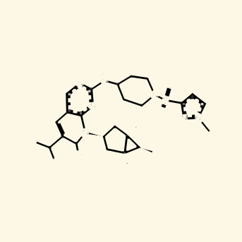 C[C@H]1[C@H]2C[C@@H](N3c4nc(NC5CCN(S(=O)(=O)c6ccn(C)n6)CC5)ncc4C=C(C(F)F)C3O)C[C@@H]12